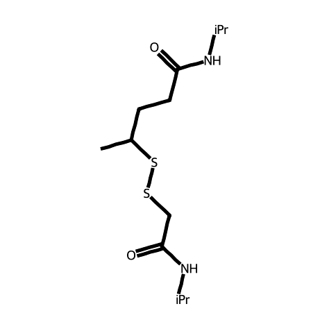 CC(C)NC(=O)CCC(C)SSCC(=O)NC(C)C